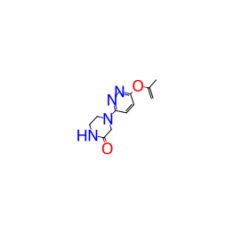 C=C(C)Oc1ccc(N2CCNC(=O)C2)nn1